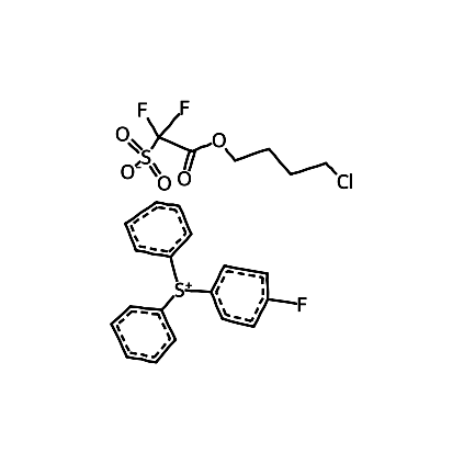 Fc1ccc([S+](c2ccccc2)c2ccccc2)cc1.O=C(OCCCCCl)C(F)(F)S(=O)(=O)[O-]